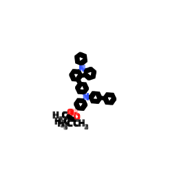 CC1(C)OB(c2ccc(N(c3ccc(-c4ccccc4)cc3)c3ccc(-c4cccc5c4c4ccccc4n5-c4ccccc4)cc3)cc2)OC1(C)C